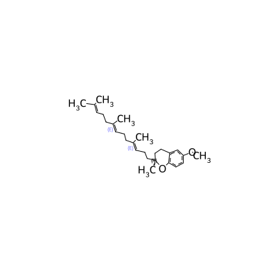 COc1ccc2c(c1)CC[C@@](C)(CC/C=C(\C)CC/C=C(\C)CCC=C(C)C)O2